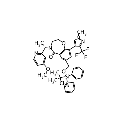 COc1ccnc([C@H](C)N2CCOc3c(cc(CO[Si](c4ccccc4)(c4ccccc4)C(C)(C)C)cc3-c3cn(C)nc3C(F)(F)F)C2=O)c1